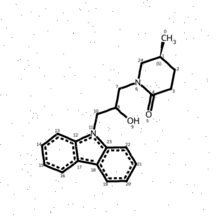 C[C@H]1CCC(=O)N(CC(O)Cn2c3ccccc3c3ccccc32)C1